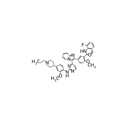 CCCN1CCC(c2ccc(Nc3nccc(-c4c(-c5ccc(OC)c(C(=O)Nc6c(F)cccc6F)c5)nc5ccccn45)n3)c(OC)c2)CC1